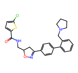 O=C(NCC1CC(c2ccc(-c3ccccc3CN3CCCC3)cc2)=NO1)c1ccc(Cl)s1